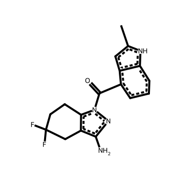 Cc1cc2c(C(=O)n3nc(N)c4c3CCC(F)(F)C4)cccc2[nH]1